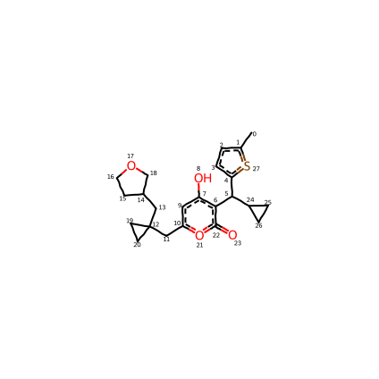 Cc1ccc(C(c2c(O)cc(CC3(CC4CCOC4)CC3)oc2=O)C2CC2)s1